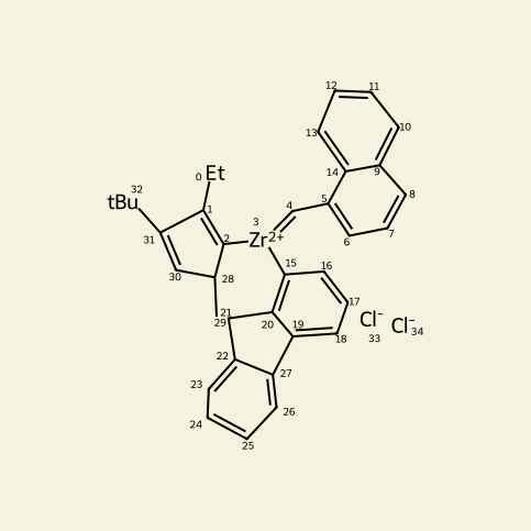 CCC1=[C](/[Zr+2](=[CH]/c2cccc3ccccc23)[c]2cccc3c2Cc2ccccc2-3)C(C)C=C1C(C)(C)C.[Cl-].[Cl-]